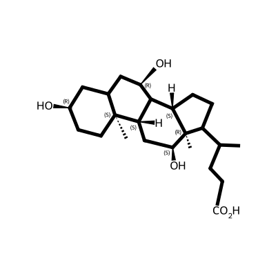 CC(CCC(=O)O)C1CC[C@H]2C3[C@H](O)CC4C[C@H](O)CC[C@]4(C)[C@H]3C[C@H](O)[C@]12C